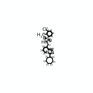 Cc1c(Cl)cccc1S(=O)(=O)NCc1cccn2c(C3CCCCCC3)nnc12